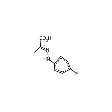 C/C(=N\Nc1ccc(F)cc1)C(=O)O